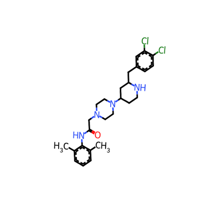 Cc1cccc(C)c1NC(=O)CN1CCN(C2CCNC(Cc3ccc(Cl)c(Cl)c3)C2)CC1